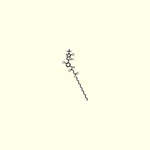 CCCCCCCCCCCCCCOC(=O)CCC(=O)Nc1ccc(Cl)c(-c2nn3nc(C(C)(C)C)c(Cl)c3[nH]2)c1